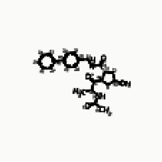 CC(=O)NC(C)C(=O)N1C[C@H](O)C[C@H]1C(=O)NCc1ccc(-c2ccccc2)cc1